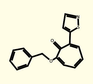 O=c1c(OCc2ccccc2)ccccc1-c1ccns1